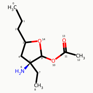 CCCC1C[C@@](N)(CC)C(OC(C)=O)O1